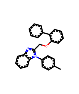 Cc1ccc(-n2c(COc3ccccc3-c3ccccc3)nc3ccccc32)cc1